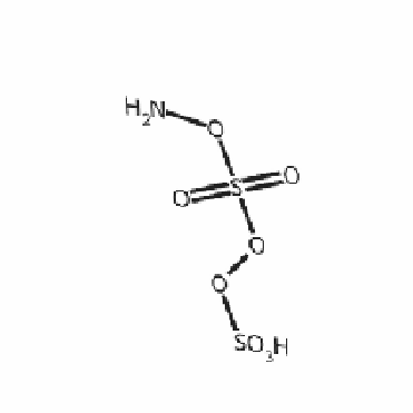 NOS(=O)(=O)OOS(=O)(=O)O